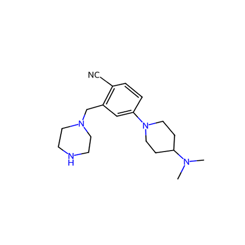 CN(C)C1CCN(c2ccc(C#N)c(CN3CCNCC3)c2)CC1